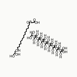 CCCCCCCCCCCCCCCCCC(=O)N(C)CC(=O)O.OCC(O)CO.OCC(O)CO.OCC(O)CO.OCC(O)CO.OCC(O)CO.OCC(O)CO.OCC(O)CO.OCC(O)CO.OCC(O)CO.OCC(O)CO